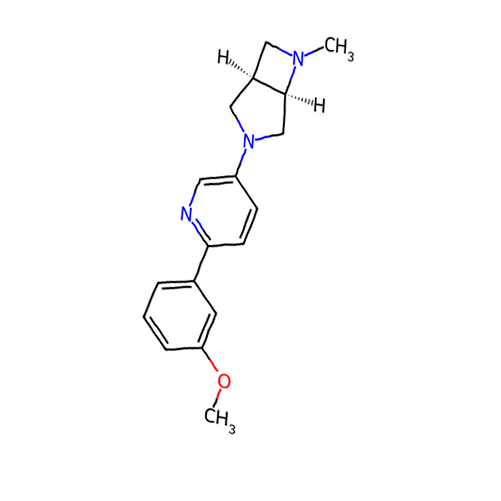 COc1cccc(-c2ccc(N3C[C@H]4CN(C)[C@H]4C3)cn2)c1